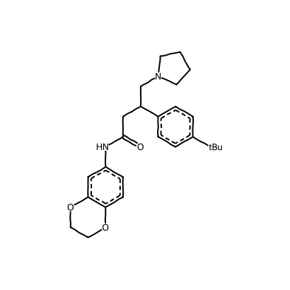 CC(C)(C)c1ccc(C(CC(=O)Nc2ccc3c(c2)OCCO3)CN2CCCC2)cc1